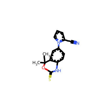 CC1(C)OC(=S)Nc2ccc(-n3cccc3C#N)cc21